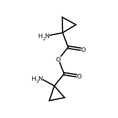 NC1(C(=O)OC(=O)C2(N)CC2)CC1